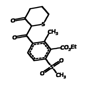 CCOC(=O)c1c(S(C)(=O)=O)ccc(C(=O)C2SCCCC2=O)c1C